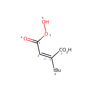 CC(C)(C)/C(=C/C(=O)OO)C(=O)O